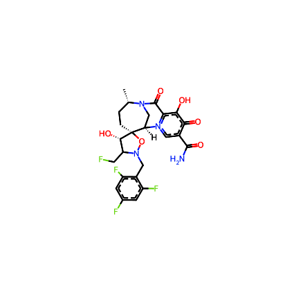 C[C@H]1CC[C@@]2(ON(Cc3c(F)cc(F)cc3F)C(CF)[C@@H]2O)[C@H]2CN1C(=O)c1c(O)c(=O)c(C(N)=O)cn12